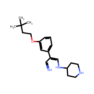 CC(C)(C)CCOc1cccc(/C(C=N)=C/NC2CCNCC2)c1